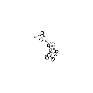 N#CCCc1ncccc1C(=O)N1CCCC[C@H]1CCOc1ccc(C2CCN(CCc3ncccc3C(=O)N3CCCC[C@H]3COc3cccc(O)c3C=O)C2)c(O)c1C=O